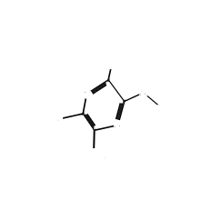 CCNc1nc(C)c(Br)nc1C(=O)OCC